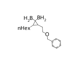 BC1(B)C(CCCCCC)C1CCOCc1ccccc1